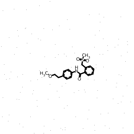 COCCc1ccc(NC(=O)c2ccccc2CS(C)(=O)=O)cc1